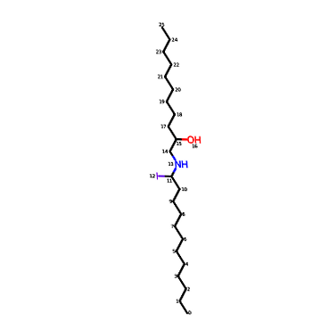 CCCCCCCCCCCC(I)NCC(O)CCCCCCCCC